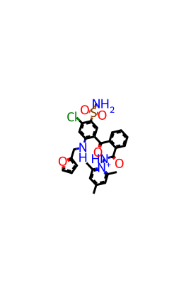 Cc1cc(C)[n+](NC(=O)c2ccccc2C(=O)c2cc(S(N)(=O)=O)c(Cl)cc2NCc2ccco2)c(C)c1